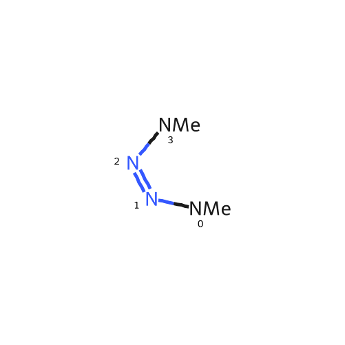 CN/N=N\NC